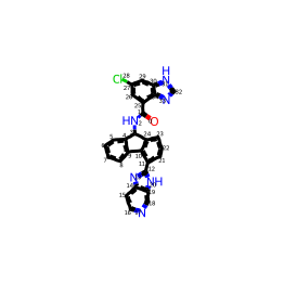 O=C(NC1c2ccccc2-c2c(-c3nc4ccncc4[nH]3)cccc21)c1cc(Cl)cc2[nH]cnc12